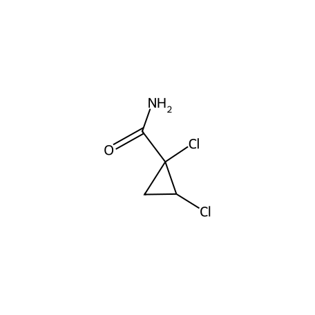 NC(=O)C1(Cl)CC1Cl